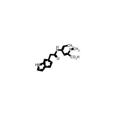 C=N/C(=C\C(=C/C)NC(=O)Cc1ccc2cc[nH]c2c1)C(=O)O